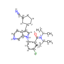 CC(C)N(C(=O)c1cc(F)ccc1-n1cc(C2CCCB(C#N)C2)c2ccncc21)C(C)C